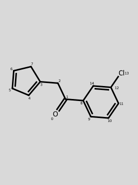 O=C(CC1=CC=CC1)c1cccc(Cl)c1